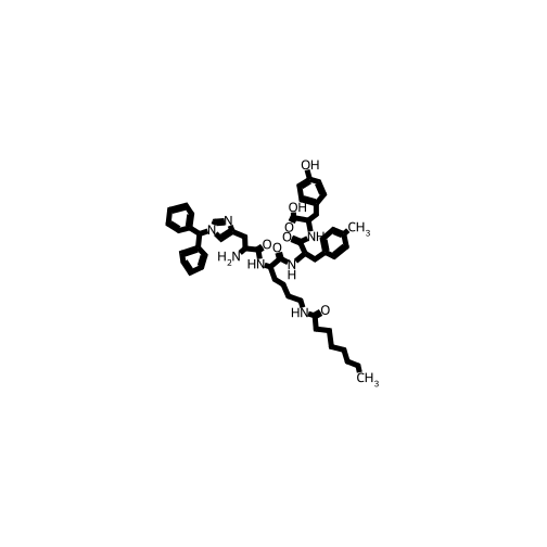 CCCCCCCC(=O)NCCCCC(NC(=O)C(N)Cc1cn(C(c2ccccc2)c2ccccc2)cn1)C(=O)NC(Cc1ccc(C)cc1)C(=O)NC(Cc1ccc(O)cc1)C(=O)O